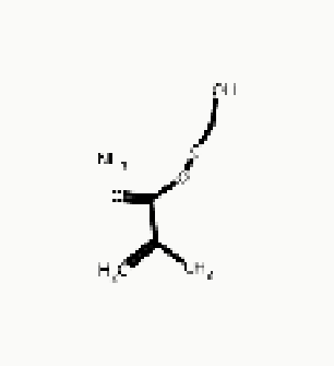 C=C(C)C(=O)OCCO.N